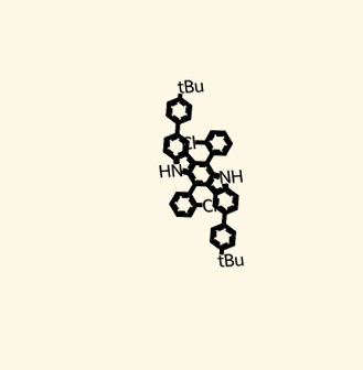 CC(C)(C)c1ccc(-c2ccc3[nH]c4c(-c5ccccc5Cl)c5c([nH]c6ccc(-c7ccc(C(C)(C)C)cc7)cc65)c(-c5ccccc5Cl)c4c3c2)cc1